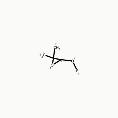 CC1(C)OC1OF